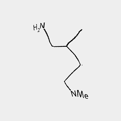 CNC[CH]C(C)CN